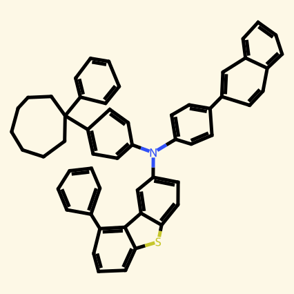 c1ccc(-c2cccc3sc4ccc(N(c5ccc(-c6ccc7ccccc7c6)cc5)c5ccc(C6(c7ccccc7)CCCCCCC6)cc5)cc4c23)cc1